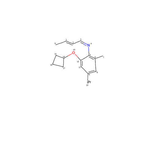 C/C=C/C=N\c1c(C)cc(C(C)C)cc1OC1CCC1